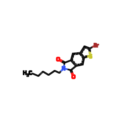 CCCCCCN1C(=O)c2cc3cc(Br)sc3cc2C1=O